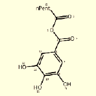 CCCCCC(=O)OC(=O)c1cc(O)c(O)c(O)c1